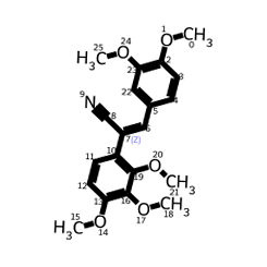 COc1ccc(/C=C(\C#N)c2ccc(OC)c(OC)c2OC)cc1OC